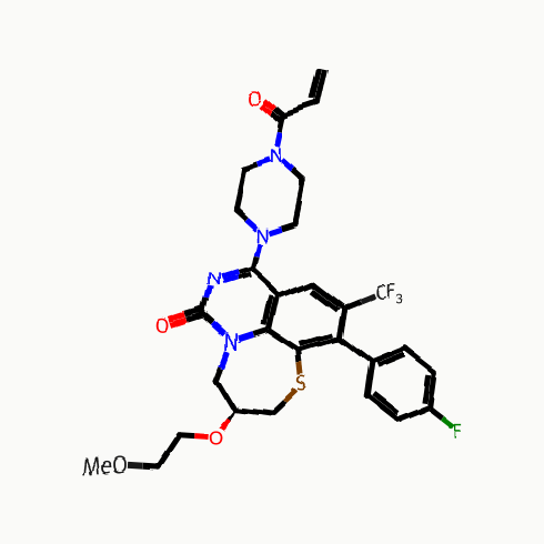 C=CC(=O)N1CCN(c2nc(=O)n3c4c(c(-c5ccc(F)cc5)c(C(F)(F)F)cc24)SC[C@@H](OCCOC)C3)CC1